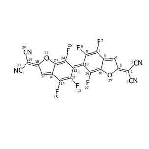 N#CC(C#N)=c1cc2c(F)c(F)/c(=c3/c(F)c(F)c4cc(=C(C#N)C#N)oc4c3F)c(F)c2o1